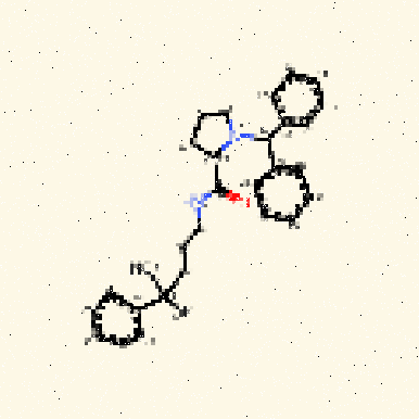 CC(C)C(C#N)(CCCNC(=O)[C@H]1CCCN1C(c1ccccc1)c1ccccc1)c1ccccc1